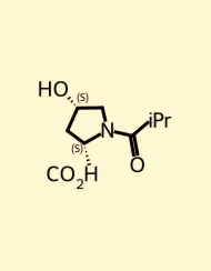 CC(C)C(=O)N1C[C@@H](O)C[C@H]1C(=O)O